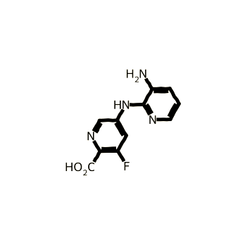 Nc1cccnc1Nc1cnc(C(=O)O)c(F)c1